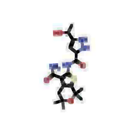 CC(O)C1=CC(C(=O)Nc2sc3c(c2C(N)=O)CC(C)(C)OC3(C)C)NN1